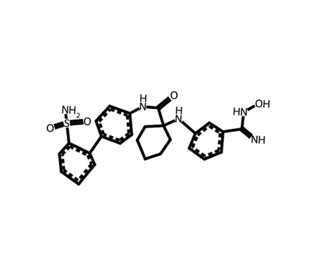 N=C(NO)c1cccc(NC2(C(=O)Nc3ccc(-c4ccccc4S(N)(=O)=O)cc3)CCCCC2)c1